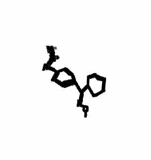 CO/N=C(/c1ccc(N=[N+]=[N-])cc1)C1CCCCC1